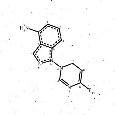 Nc1cccc2c1cnn2N1C=NC(F)=CC1